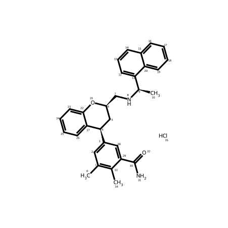 Cc1cc([C@@H]2C[C@H](CN[C@H](C)c3cccc4ccccc34)Oc3ccccc32)cc(C(N)=O)c1C.Cl